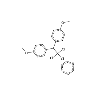 COc1ccc(C(c2ccc(OC)cc2)C(Cl)(Cl)Cl)cc1.c1ccncc1